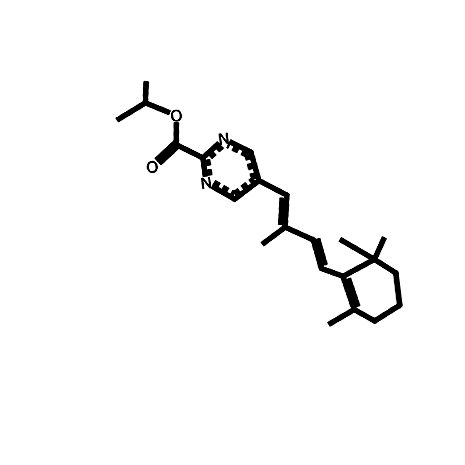 CC1=C(C=C/C(C)=C/c2cnc(C(=O)OC(C)C)nc2)C(C)(C)CCC1